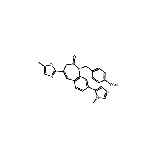 COc1ccc(CN2C(=O)CC(c3ncc(C)o3)=Cc3ccc(-c4cncn4C)cc32)cc1